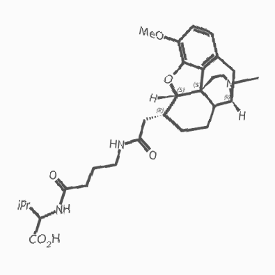 COc1ccc2c3c1O[C@H]1[C@@H](CC(=O)NCCCC(=O)NC(C(=O)O)C(C)C)CCC4[C@@H](C2)N(C)CC[C@@]341